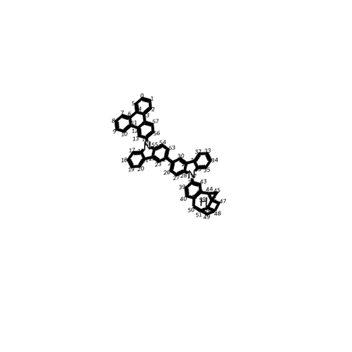 c1ccc2c(c1)c1ccccc1c1cc(-n3c4ccccc4c4cc(-c5ccc6c(c5)c5ccccc5n6-c5ccc6c(c5)C5CC57CC5CC6C[C@@H]57)ccc43)ccc21